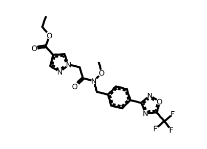 CCOC(=O)c1cnn(CC(=O)N(Cc2ccc(-c3noc(C(F)(F)F)n3)cc2)OC)c1